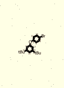 CC(C)(C)c1cc(Oc2ccc(Br)cc2)cc(C(C)(C)C)c1